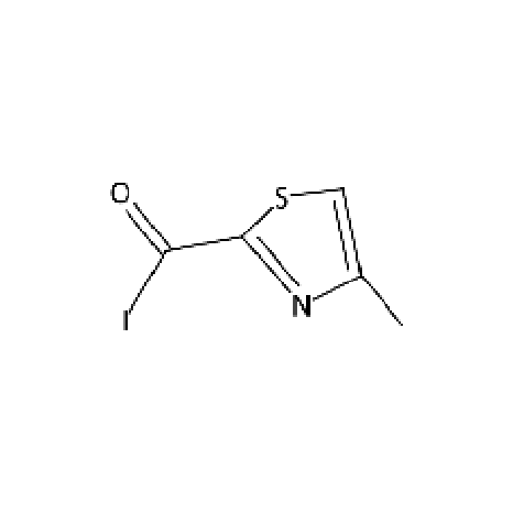 Cc1csc(C(=O)I)n1